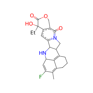 CCC1(O)C(=O)OCc2c1cc1n(c2=O)CC2C3=C4C(=C(C)C(F)=CC4NC12)CCC3